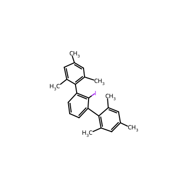 Cc1cc(C)c(-c2cccc(-c3c(C)cc(C)cc3C)c2I)c(C)c1